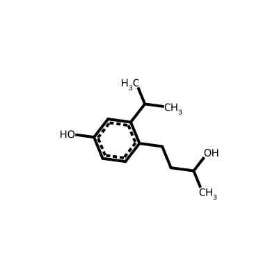 CC(O)CCc1ccc(O)cc1C(C)C